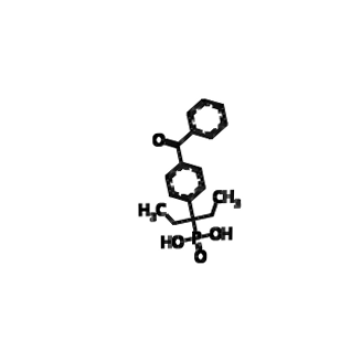 CCC(CC)(c1ccc(C(=O)c2ccccc2)cc1)P(=O)(O)O